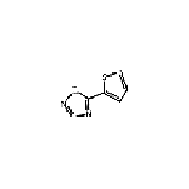 c1csc(-c2ncno2)c1